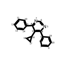 c1ccc(-c2ncnc(-c3ccccc3)c2C2CC2)cc1